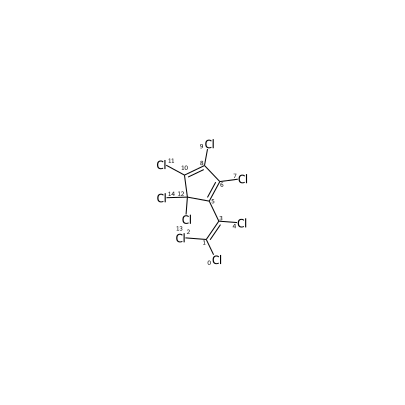 ClC(Cl)=C(Cl)C1=C(Cl)C(Cl)=C(Cl)C1(Cl)Cl